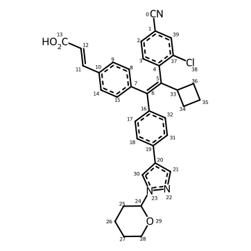 N#Cc1ccc(/C(=C(\c2ccc(C=CC(=O)O)cc2)c2ccc(-c3cnn(C4CCCCO4)c3)cc2)C2CCC2)c(Cl)c1